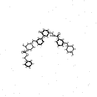 C[C@H]1CN(Cc2cccc(-c3cc(CNC(=O)c4cccc(CC5CCN(C)CC5)c4)ccc3F)c2)CCN1C(=O)OCc1ccccc1